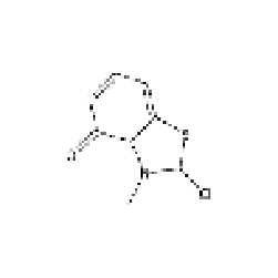 CN1C(Cl)SC2=CC=CC(=O)C21